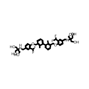 Cc1c(COc2ccc(CNC(CO)(CO)CO)cc2C(F)F)cccc1-c1cccc(COc2ccc(CNC(CO)(CO)CO)cc2C(F)F)c1C